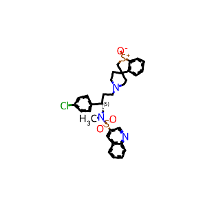 CN(C[C@@H](CCN1CCC2(CC1)C[S+]([O-])c1ccccc12)c1ccc(Cl)cc1)S(=O)(=O)c1cnc2ccccc2c1